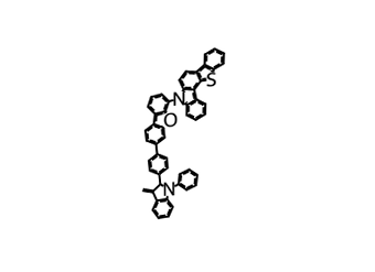 C=C1c2ccccc2N(c2ccccc2)C1c1ccc(-c2ccc3c(c2)oc2c(-n4c5ccccc5c5c6sc7ccccc7c6ccc54)cccc23)cc1